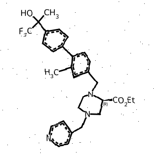 CCOC(=O)[C@H]1CN(Cc2ccncc2)CCN1Cc1ccc(-c2ccc(C(C)(O)C(F)(F)F)cc2)c(C)c1